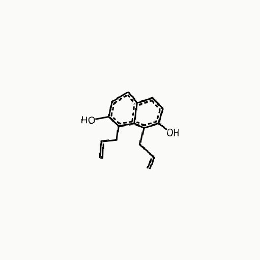 C=CCc1c(O)ccc2ccc(O)c(CC=C)c12